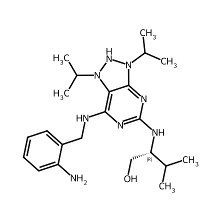 CC(C)[C@H](CO)Nc1nc(NCc2ccccc2N)c2c(n1)N(C(C)C)NN2C(C)C